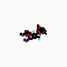 CN(Cc1cc(F)c(B2OC(C)(C)C(C)(C)O2)c(C(F)F)c1)C(=O)OC(C)(C)C